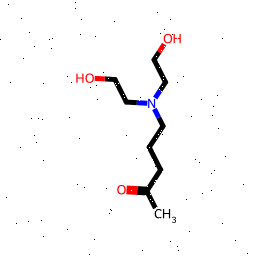 CC(=O)CCCN(CCO)CCO